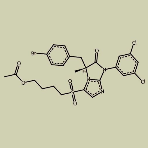 CC(=O)OCCCCS(=O)(=O)c1cnc2n1[C@](C)(Cc1ccc(Br)cc1)C(=O)N2c1cc(Cl)cc(Cl)c1